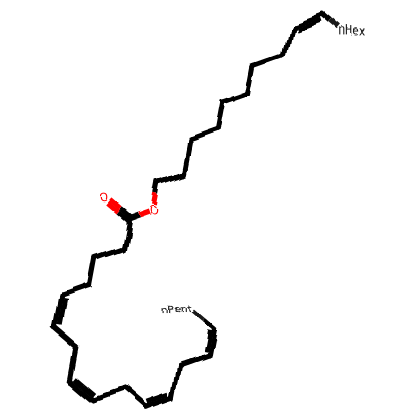 CCCCC/C=C\C/C=C\C/C=C\C/C=C\CCCC(=O)OCCCCCCCC/C=C\CCCCCC